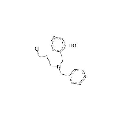 Cl.ClCCCN(Cc1ccccc1)Cc1ccccc1